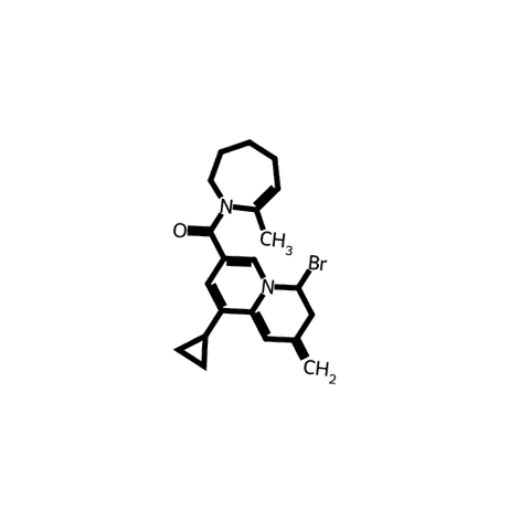 C=C1C=C2C(C3CC3)=CC(C(=O)N3CCCCC=C3C)=CN2C(Br)C1